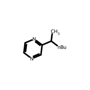 CCCCC(C)c1cnccn1